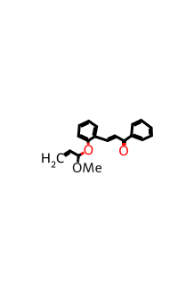 C=CC(OC)Oc1ccccc1C=CC(=O)c1ccccc1